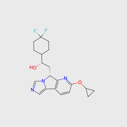 O[C@@H](C[C@@H]1c2nc(OC3CC3)ccc2-c2cncn21)C1CCC(F)(F)CC1